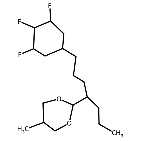 CCCC(CCCC1CC(F)C(F)C(F)C1)C1OCC(C)CO1